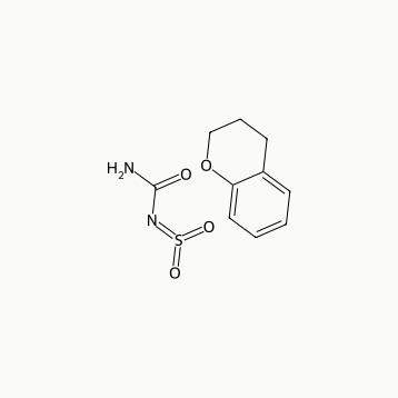 NC(=O)N=S(=O)=O.c1ccc2c(c1)CCCO2